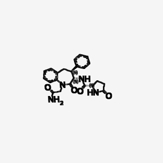 NC(=O)CN1C(=O)[C@@H](NC(=O)[C@@H]2CCC(=O)N2)[C@H](c2ccccc2)Cc2ccccc21